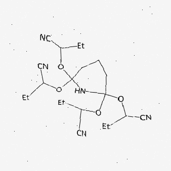 CCC(C#N)OC1(OC(C#N)CC)CCCC(OC(C#N)CC)(OC(C#N)CC)N1